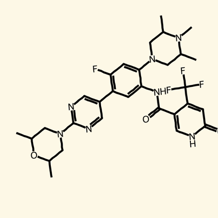 CC1CN(c2ncc(-c3cc(NC(=O)c4c[nH]c(=O)cc4C(F)(F)F)c(N4CC(C)N(C)C(C)C4)cc3F)cn2)CC(C)O1